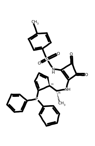 Cc1ccc(S(=O)(=O)Nc2c(N[C@H](C)[C@@H]3C=CC=C3P(c3ccccc3)c3ccccc3)c(=O)c2=O)cc1